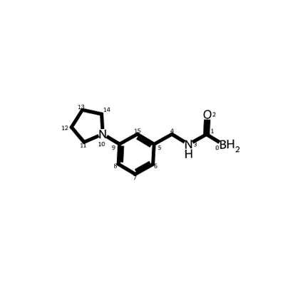 BC(=O)NCc1cccc(N2CCCC2)c1